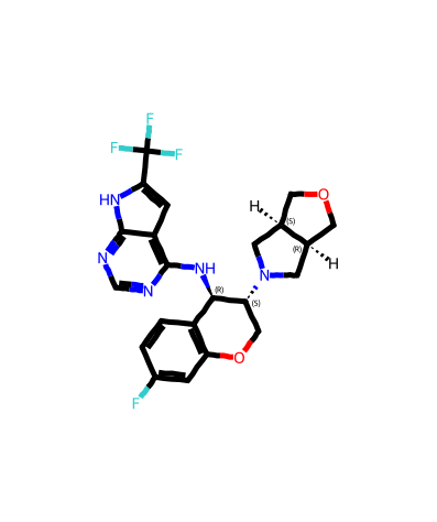 Fc1ccc2c(c1)OC[C@@H](N1C[C@H]3COC[C@H]3C1)[C@@H]2Nc1ncnc2[nH]c(C(F)(F)F)cc12